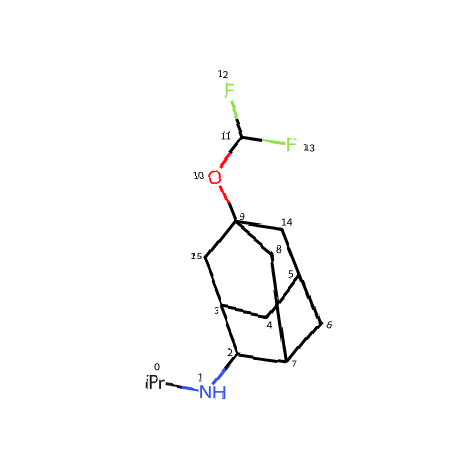 CC(C)NC1C2CC3CC1CC(OC(F)F)(C3)C2